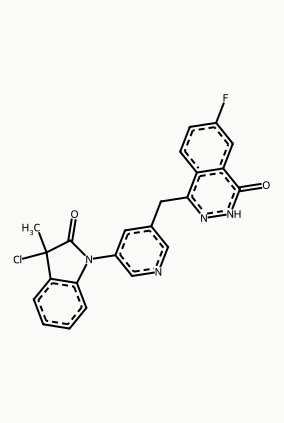 CC1(Cl)C(=O)N(c2cncc(Cc3n[nH]c(=O)c4cc(F)ccc34)c2)c2ccccc21